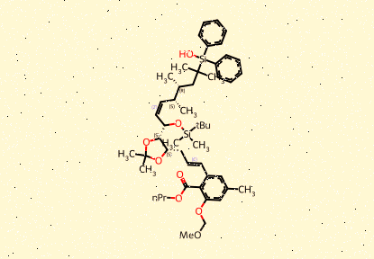 CCCOC(=O)c1c(/C=C/C[C@@H]2OC(C)(C)O[C@@H]2C(/C=C\[C@@H](C)[C@H](C)CC(C)(C)[Si](O)(c2ccccc2)c2ccccc2)O[Si](C)(C)C(C)(C)C)cc(C)cc1OCOC